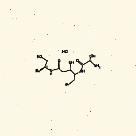 CCCCC(N)C(=O)NC(CC(C)C)C(O)CC(=O)N[C@H](CO)C(C)CC.Cl